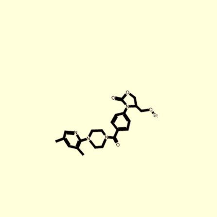 CCOCC1COC(=O)N1c1ccc(C(=O)N2CCN(c3ncc(C)cc3C)CC2)cc1